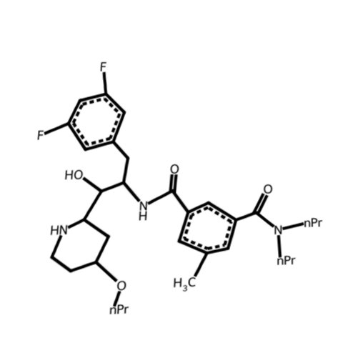 CCCOC1CCNC(C(O)C(Cc2cc(F)cc(F)c2)NC(=O)c2cc(C)cc(C(=O)N(CCC)CCC)c2)C1